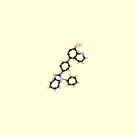 Oc1ccc(-c2ccc(-c3nc4ccccc4n3-c3ccccc3)cc2)c2cccnc12